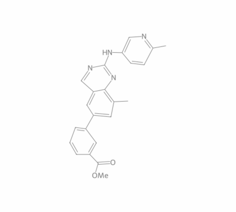 COC(=O)c1cccc(-c2cc(C)c3nc(Nc4ccc(C)nc4)ncc3c2)c1